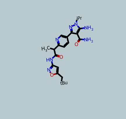 CC(C(=O)Nc1cc(CC(C)(C)C)on1)c1ccc(-c2nn(C(C)C)c(N)c2C(N)=O)cn1